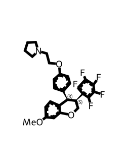 COc1ccc2c(c1)OC[C@H](c1c(F)c(F)c(F)c(F)c1F)[C@@H]2c1ccc(OCCN2CCCC2)cc1